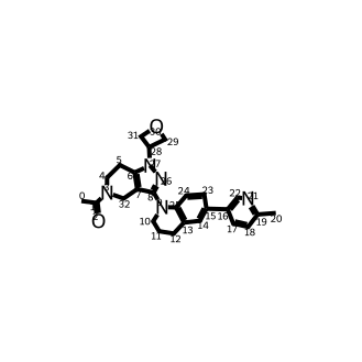 CC(=O)N1CCc2c(c(N3CCCc4cc(-c5ccc(C)nc5)ccc43)nn2C2COC2)C1